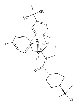 CC12CC=C(C(F)(C(F)(F)F)C(F)(F)F)C=C1CC[C@@H]1N(C(=O)[C@H]3CC[C@H](C(C)(C)O)CC3)CC[C@@]12S(=O)(=O)c1ccc(F)cc1